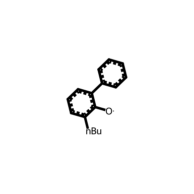 CCCCc1cccc(-c2ccccc2)c1[O]